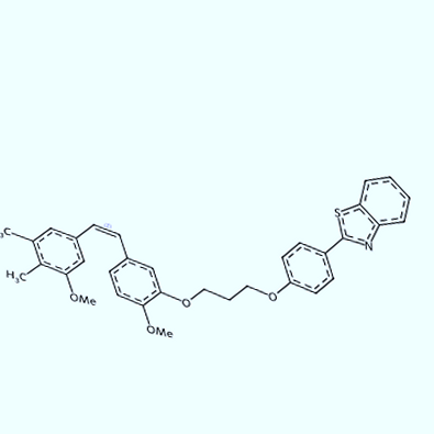 COc1ccc(/C=C\c2cc(C)c(C)c(OC)c2)cc1OCCCOc1ccc(-c2nc3ccccc3s2)cc1